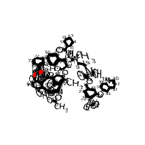 CC(=O)O[C@H]1C2=C(C)[C@H](OC(=O)[C@H](OC(=O)N(C)CCN(C)C(=O)OCc3ccc([N+](=O)[O-])c(Oc4ccc5ncccc5c4)c3)[C@@H](NC(=O)c3ccccc3)c3ccccc3)C[C@]3(O)[C@H](OC(=O)c4ccccc4)[C@H]4[C@@]5(OC(C)=O)CO[C@H]5C[C@@H](O)[C@]4(C)C1O[C@]23C